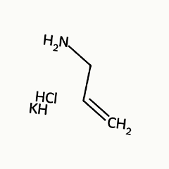 C=CCN.Cl.[KH]